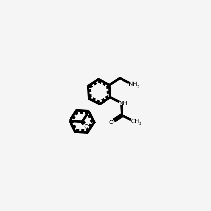 CC(=O)Nc1ccccc1CN.O=C1c2cccc1c2